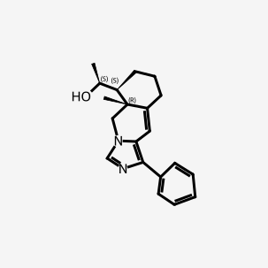 C[C@H](O)[C@H]1CCCC2=Cc3c(-c4ccccc4)ncn3C[C@@]21C